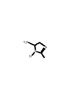 [CH2]CN1C(C)=NCC1[N+](=O)[O-]